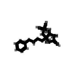 O=C1NC(=O)C(CCOCc2ccccc2)(CS(=O)(=O)Cl)N1